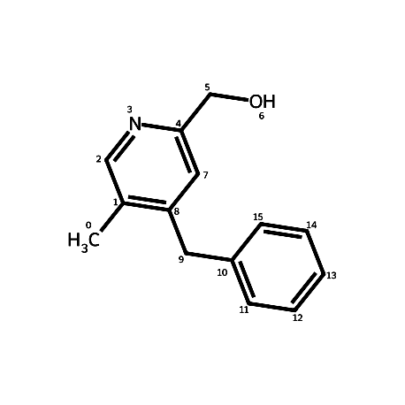 Cc1cnc(CO)cc1Cc1ccccc1